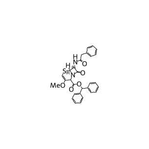 COC1=CS[C@@H]2[C@H](NC(=O)Cc3ccccc3)C(=O)N2C1C(=O)OC(c1ccccc1)c1ccccc1